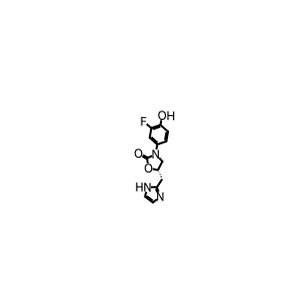 O=C1O[C@@H](Cc2ncc[nH]2)CN1c1ccc(O)c(F)c1